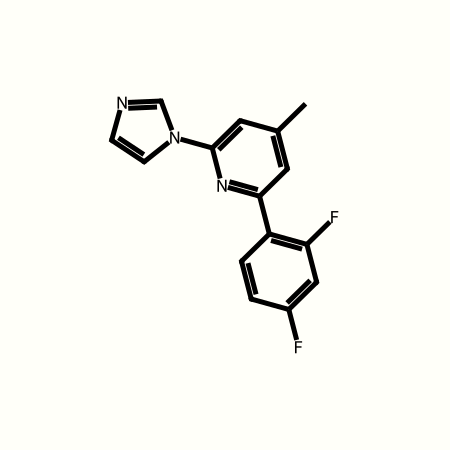 Cc1cc(-c2ccc(F)cc2F)nc(-n2ccnc2)c1